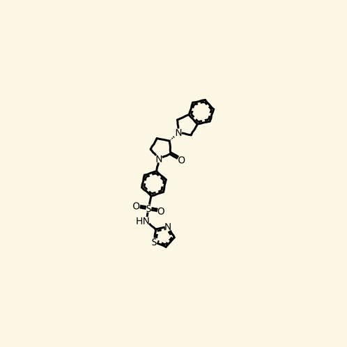 O=C1[C@@H](N2Cc3ccccc3C2)CCN1c1ccc(S(=O)(=O)Nc2nccs2)cc1